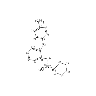 Cc1ccc(Sc2ncccc2C=[N+]([O-])C2CCCCC2)cc1